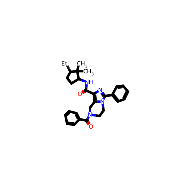 CCC1CCC(NC(=O)c2nc(-c3ccccc3)n3c2CN(C(=O)c2ccccc2)CC3)C1(C)C